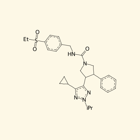 CCS(=O)(=O)c1ccc(CNC(=O)N2CC(c3ccccc3)C(c3nn(C(C)C)nc3C3CC3)C2)cc1